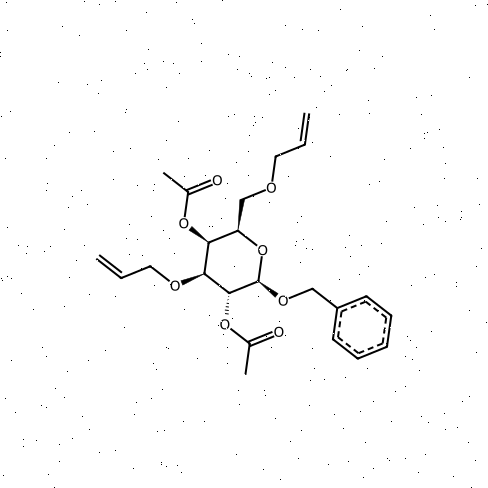 C=CCOC[C@H]1O[C@@H](OCc2ccccc2)[C@H](OC(C)=O)[C@@H](OCC=C)[C@H]1OC(C)=O